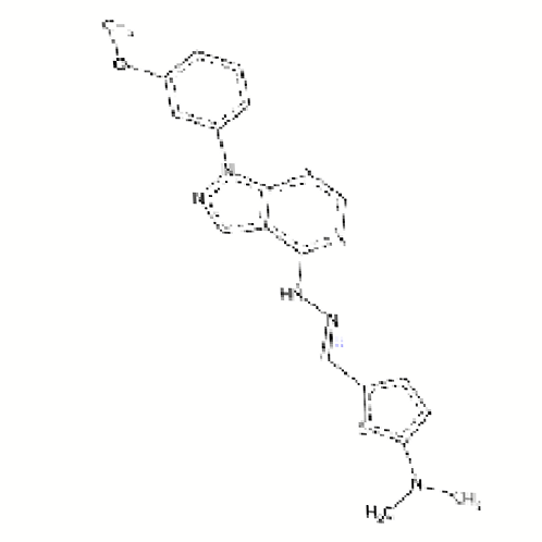 COc1cccc(-n2ncc3c(N/N=C/c4ccc(N(C)C)s4)ncnc32)c1